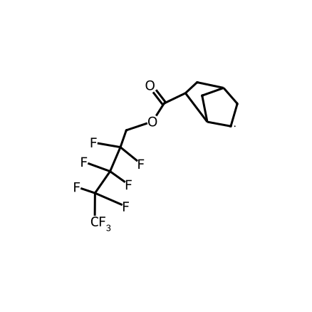 O=C(OCC(F)(F)C(F)(F)C(F)(F)C(F)(F)F)C1CC2C[CH]C1C2